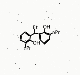 CCCc1cccc(C(CC)c2cccc(CCC)c2O)c1O